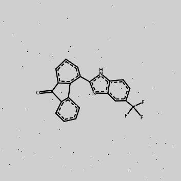 O=C1c2ccccc2-c2c1cccc2-c1nc2cc(C(F)(F)F)ccc2[nH]1